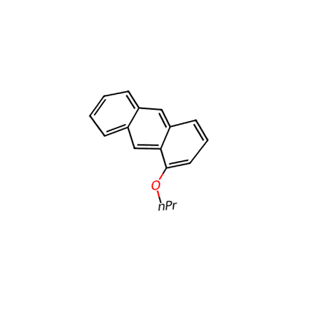 CCCOc1cccc2cc3ccccc3cc12